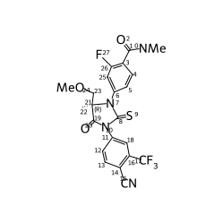 CNC(=O)c1ccc(N2C(=S)N(c3ccc(C#N)c(C(F)(F)F)c3)C(=O)[C@@]2(C)COC)cc1F